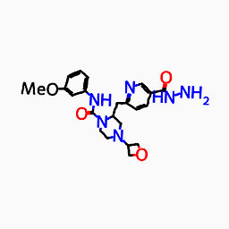 COc1cccc(NC(=O)N2CCN(C3COC3)CC2Cc2ccc(C(=O)NN)cn2)c1